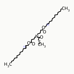 CCCCCCCCCC/C=C/COC(=O)CCCN(CCCC(=O)OC/C=C/CCCCCCCCCC)C(=O)CSC